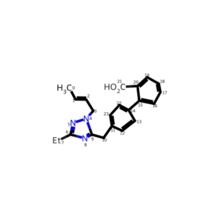 C/C=C/Cn1nc(CC)nc1Cc1ccc(-c2ccccc2C(=O)O)cc1